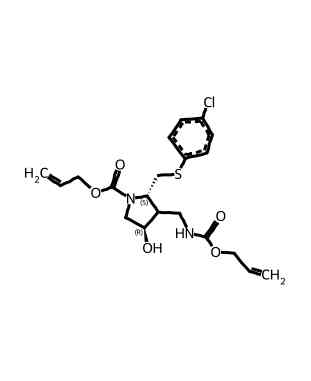 C=CCOC(=O)NCC1[C@@H](CSc2ccc(Cl)cc2)N(C(=O)OCC=C)C[C@@H]1O